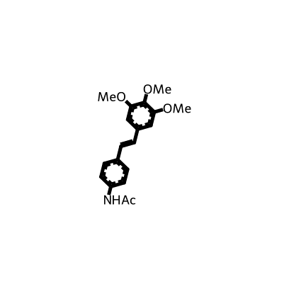 COc1cc(C=Cc2ccc(NC(C)=O)cc2)cc(OC)c1OC